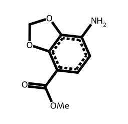 COC(=O)c1ccc(N)c2c1OCO2